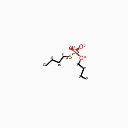 CCCCOS(=O)(=O)SCCCC